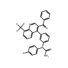 NC(=S)N(c1ccc(F)cc1)c1cccc(-c2c(C(=O)c3ccccc3)cnc3c(C(F)(F)F)cccc23)c1